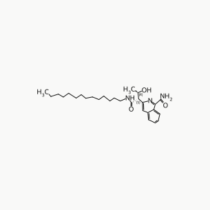 CCCCCCCCCCCCCCNC(=O)[C@@H](c1cc2ccccc2c(C(N)=O)n1)[C@@H](C)O